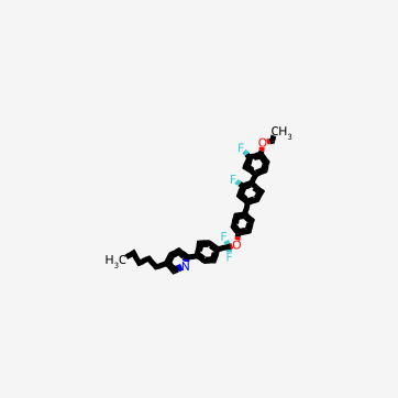 CCCCCc1ccc(-c2ccc(C(F)(F)Oc3ccc(-c4ccc(-c5ccc(OCC)c(F)c5)c(F)c4)cc3)cc2)nc1